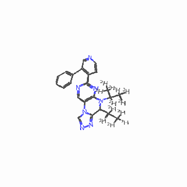 [2H]C([2H])([2H])C([2H])([2H])C1c2nncn2-c2cnc(-c3ccncc3-c3ccccc3)nc2N1C([2H])(C([2H])([2H])[2H])C([2H])([2H])[2H]